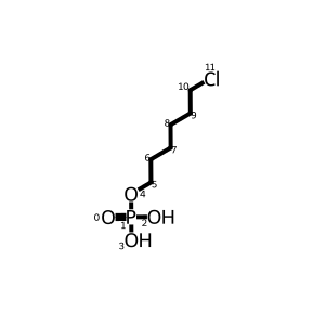 O=P(O)(O)OCCCCCCCl